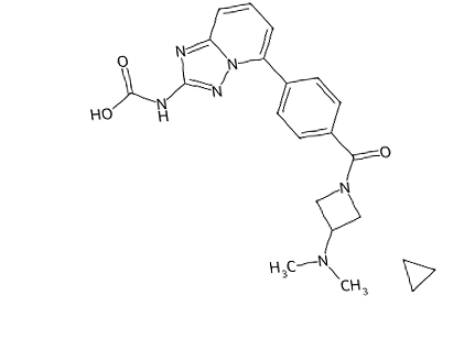 C1CC1.CN(C)C1CN(C(=O)c2ccc(-c3cccc4nc(NC(=O)O)nn34)cc2)C1